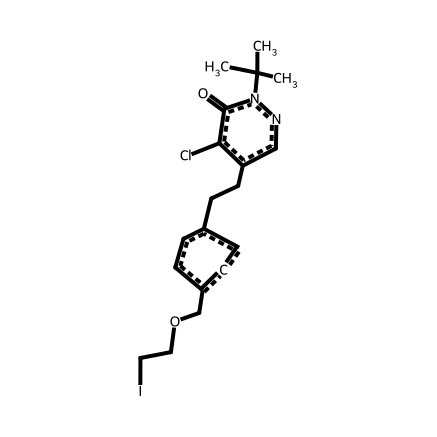 CC(C)(C)n1ncc(CCc2ccc(COCCI)cc2)c(Cl)c1=O